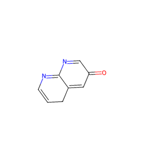 O=C1C=NC2=NC=CCC2=C1